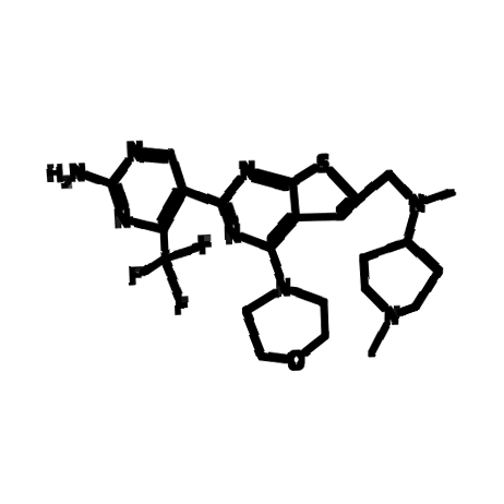 CN1CCC(N(C)Cc2cc3c(N4CCOCC4)nc(-c4cnc(N)nc4C(F)(F)F)nc3s2)CC1